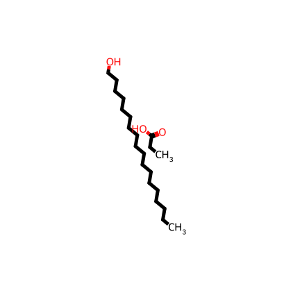 CCC(=O)O.CCCCCCCCCCCCCCCCCCO